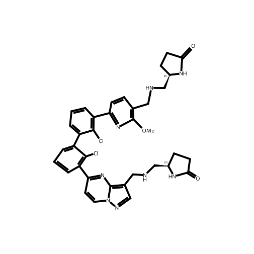 COc1nc(-c2cccc(-c3cccc(-c4ccn5ncc(CNC[C@H]6CCC(=O)N6)c5n4)c3Cl)c2Cl)ccc1CNC[C@H]1CCC(=O)N1